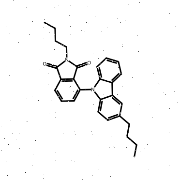 CCCCc1ccc2c(c1)c1ccccc1n2-c1cccc2c1C(=O)N(CCCC)C2=O